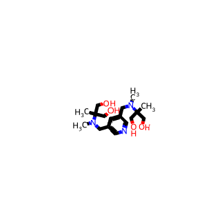 CN(Cc1cncc(CN(C)C(C)(CO)CO)c1)C(C)(CO)CO